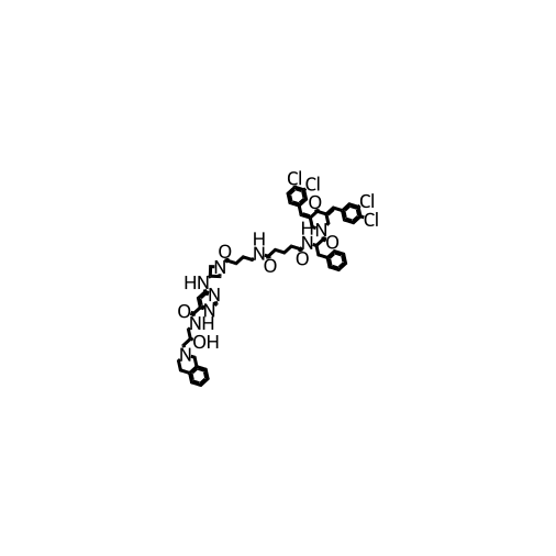 O=C(CCCC(=O)NC(Cc1ccccc1)C(=O)N1CC(=Cc2ccc(Cl)c(Cl)c2)C(=O)C(=Cc2ccc(Cl)c(Cl)c2)C1)NCCCC(=O)N1CC(Nc2cc(C(=O)NCC(O)CN3CCc4ccccc4C3)ncn2)C1